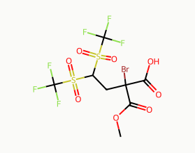 COC(=O)C(Br)(CC(S(=O)(=O)C(F)(F)F)S(=O)(=O)C(F)(F)F)C(=O)O